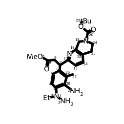 CCN(N)c1ccc(C(CC(=O)OC)c2ccc3c(n2)CN(C(=O)OC(C)(C)C)CC3)c(C)c1N